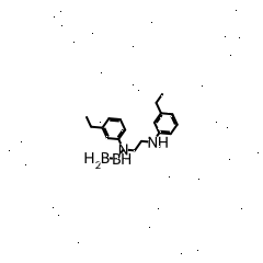 BBN(CCNc1cccc(CC)c1)c1cccc(CC)c1